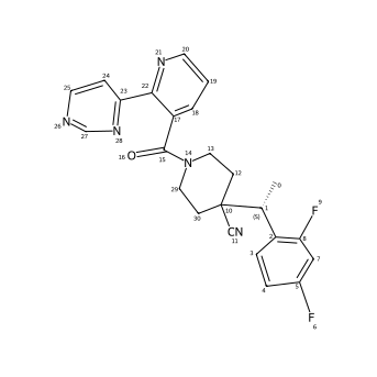 C[C@H](c1ccc(F)cc1F)C1(C#N)CCN(C(=O)c2cccnc2-c2ccncn2)CC1